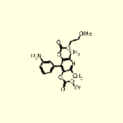 COCCOC(=O)Oc1c(C)nc(C)c(OC(=O)OC(C)C)c1-c1cccc([N+](=O)[O-])c1